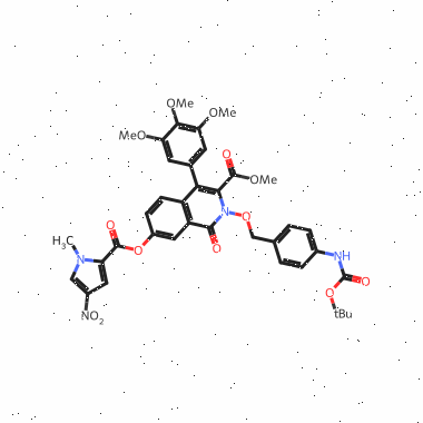 COC(=O)c1c(-c2cc(OC)c(OC)c(OC)c2)c2ccc(OC(=O)c3cc([N+](=O)[O-])cn3C)cc2c(=O)n1OCc1ccc(NC(=O)OC(C)(C)C)cc1